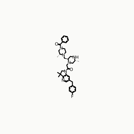 C[C@@H]1CN(CC(=O)N2CC(C)(C)c3ncc(Cc4ccc(F)cc4)cc32)[C@@H](CN2CCN(C(=O)c3ccccc3)C[C@H]2C)CN1